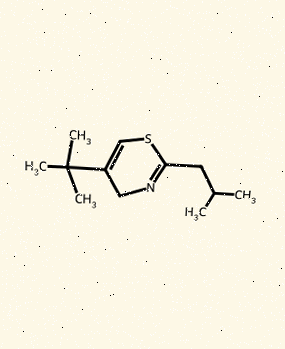 CC(C)CC1=NCC(C(C)(C)C)=CS1